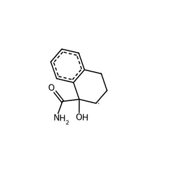 NC(=O)C1(O)[CH]CCc2ccccc21